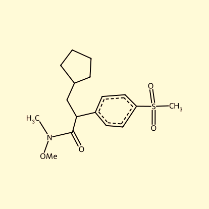 CON(C)C(=O)C(CC1CCCC1)c1ccc(S(C)(=O)=O)cc1